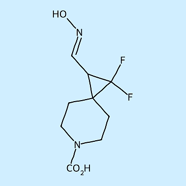 O=C(O)N1CCC2(CC1)C(C=NO)C2(F)F